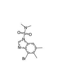 Cc1cc2c(ncn2S(=O)(=O)N(C)C)c(Br)c1C